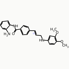 COc1ccc(NC/C=C/c2ccc(C(=O)Nc3ccccc3N)cc2)cc1OC